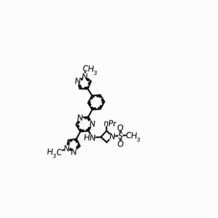 CCCC1C(Nc2nc(-c3cccc(-c4cnn(C)c4)c3)ncc2-c2cnn(C)c2)CN1S(C)(=O)=O